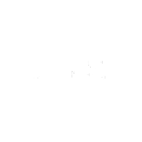 CCCCCCNCCNC(C)(C)CC